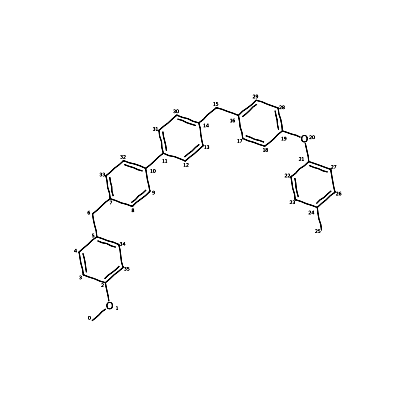 COc1ccc(Cc2ccc(-c3ccc(Cc4ccc(Oc5ccc(C)cc5)cc4)cc3)cc2)cc1